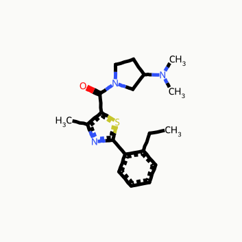 CCc1ccccc1-c1nc(C)c(C(=O)N2CCC(N(C)C)C2)s1